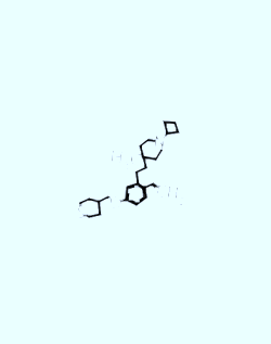 C=Cc1ccc(OCC2CCSCC2)cc1CCC1(C)CCN(C2CCC2)CC1